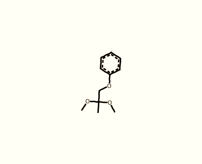 COC(C)(COc1cc[c]cc1)OC